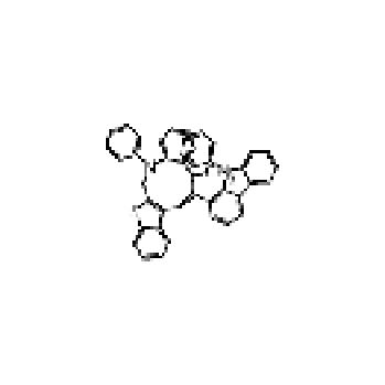 CC1/C(c2cccc3c4ccccc4n(-c4ccccc4)c23)=C\c2c(sc3ccccc23)CN(c2ccccc2)c2ccccc21